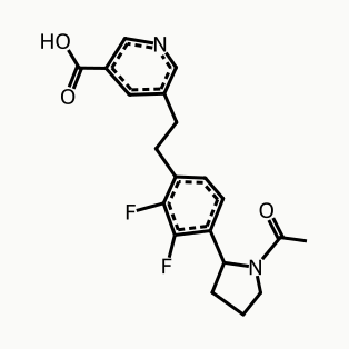 CC(=O)N1CCCC1c1ccc(CCc2cncc(C(=O)O)c2)c(F)c1F